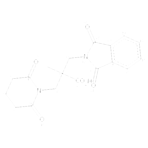 CC(CN1C(=O)CCCC1=O)(CN1C(=O)c2ccccc2C1=O)C(=O)O